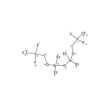 CC[Si](CC)(OCC(F)(F)C(F)(F)F)O[Si](CC)(CC)OCC(F)(F)C(F)(F)F